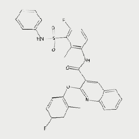 Cc1cc(F)ccc1Oc1nc2ccccc2cc1C(=O)Nc1ccc(F)c(S(=O)(=O)Nc2ccccc2)c1C